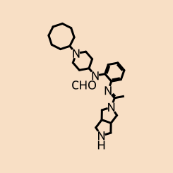 C/C(=N\c1ccccc1N(C=O)C1CCN(C2CCCCCCC2)CC1)N1CC2CNCC2C1